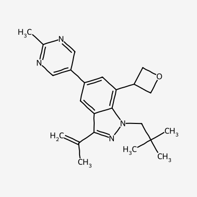 C=C(C)c1nn(CC(C)(C)C)c2c(C3COC3)cc(-c3cnc(C)nc3)cc12